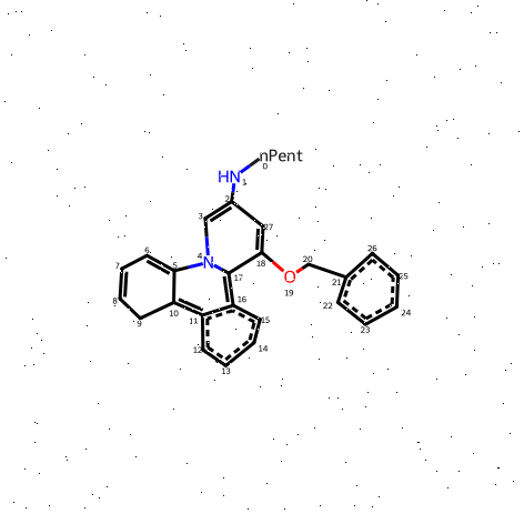 CCCCCNC1=CN2C3=CC=CCC3=c3ccccc3=C2C(OCc2ccccc2)=C1